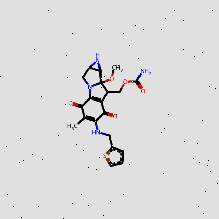 COC12C(COC(N)=O)C3=C(C(=O)C(C)=C(NCc4cccs4)C3=O)N1CC1NC12